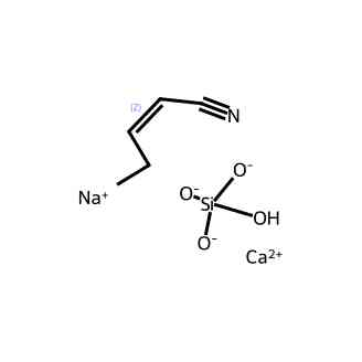 CC/C=C\C#N.[Ca+2].[Na+].[O-][Si]([O-])([O-])O